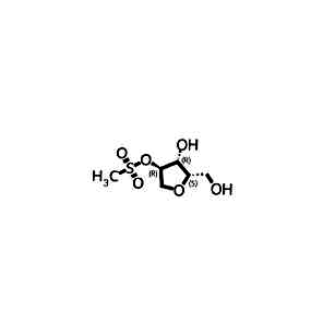 CS(=O)(=O)O[C@@H]1CO[C@@H](CO)[C@H]1O